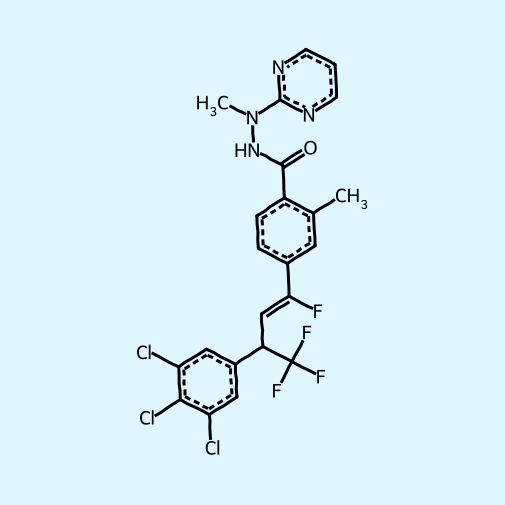 Cc1cc(/C(F)=C/C(c2cc(Cl)c(Cl)c(Cl)c2)C(F)(F)F)ccc1C(=O)NN(C)c1ncccn1